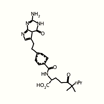 CCCC(C)(C)C(=O)CC[C@H](NC(=O)c1ccc(CCC2=CN=C3N=C(N)NC(=O)C23)cc1)C(=O)O